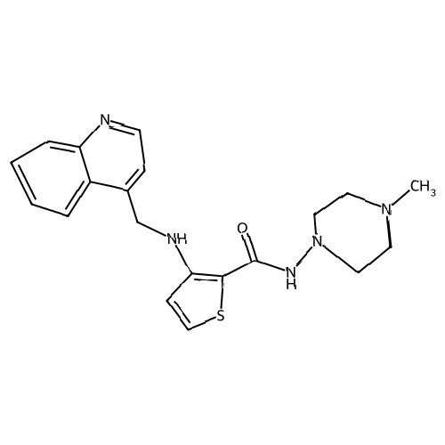 CN1CCN(NC(=O)c2sccc2NCc2ccnc3ccccc23)CC1